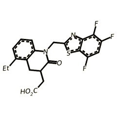 CCc1cccc2c1CC(CC(=O)O)C(=O)N2Cc1nc2c(F)c(F)cc(F)c2s1